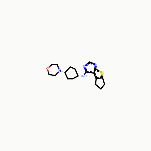 c1nc(N[C@H]2CC[C@@H](N3CCOCC3)CC2)c2c3c(sc2n1)CCC3